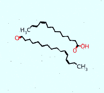 C/C=C/C=C\CCCCCCCCC(=O)O.CC/C=C\C=C/CCCCCCCCCC=O